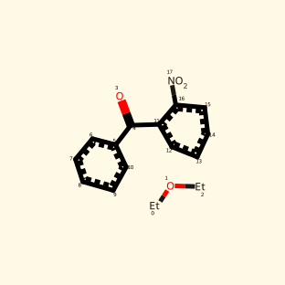 CCOCC.O=C(c1ccccc1)c1ccccc1[N+](=O)[O-]